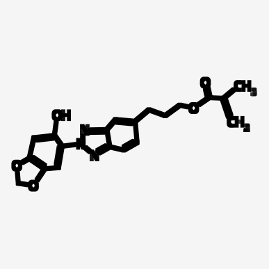 C=C(C)C(=O)OCCCc1ccc2nn(-c3cc4c(cc3O)OCO4)nc2c1